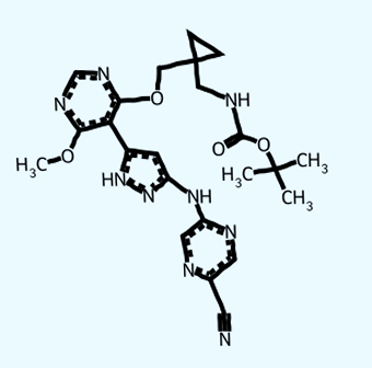 COc1ncnc(OCC2(CNC(=O)OC(C)(C)C)CC2)c1-c1cc(Nc2cnc(C#N)cn2)n[nH]1